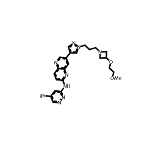 COCCOC1CN(CCCn2cc(-c3cnc4ccc(Nc5cc(C(C)C)cnn5)nc4c3)cn2)C1